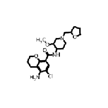 COC1CN(CC2CCCO2)CCC1NC(=O)c1cc(Cl)c(N)c2c1OCCC2